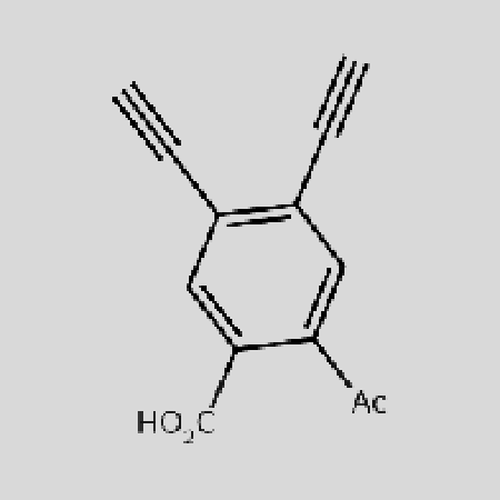 C#Cc1cc(C(C)=O)c(C(=O)O)cc1C#C